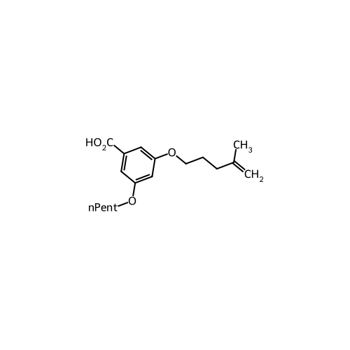 C=C(C)CCCOc1cc(OCCCCC)cc(C(=O)O)c1